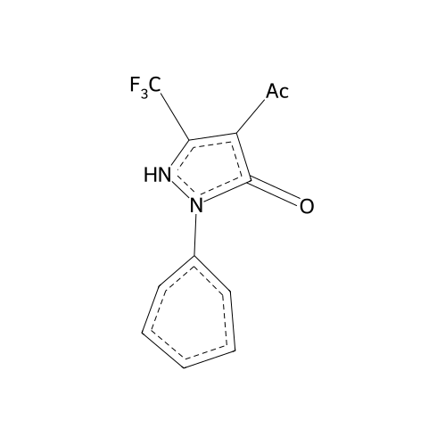 CC(=O)c1c(C(F)(F)F)[nH]n(-c2ccccc2)c1=O